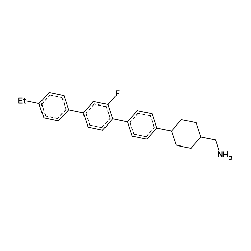 CCc1ccc(-c2ccc(-c3ccc(C4CCC(CN)CC4)cc3)c(F)c2)cc1